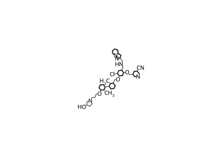 Cc1c(COc2cc(OCc3cncc(C#N)c3)c(CNCc3cc4ccccn4n3)cc2Cl)cccc1-c1cccc(OCCCN2CCC(O)C2)c1C